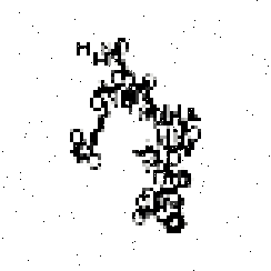 CC[C@H](C)[C@@H]([C@@H](CC(=O)N1CCC[C@H]1[C@H](OC)[C@@H](C)C(=O)N[C@@H](Cc1ccccc1)C(=O)O)OC)N(C)C(=O)[C@@H](NC(=O)[C@H](C(C)C)N(C)C[C@@H](C)NC(=O)CNC(=O)[C@H](CCCNC(N)=O)NC(=O)[C@@H](NC(=O)CCCCCN1C(=O)C=CC1=O)C(C)C)C(C)C